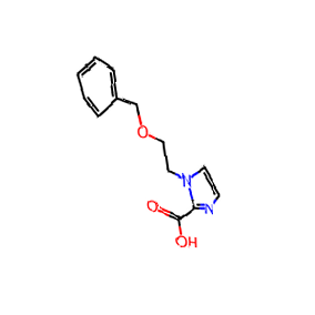 O=C(O)c1nccn1CCOCc1ccccc1